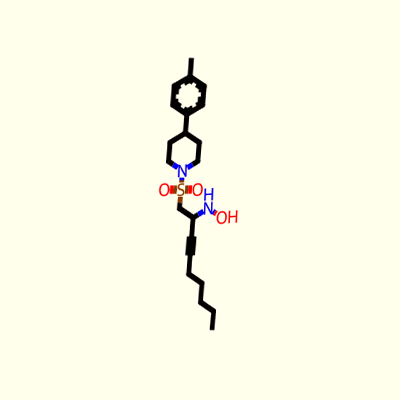 CCCCCC#CC(CS(=O)(=O)N1CCC(c2ccc(C)cc2)CC1)NO